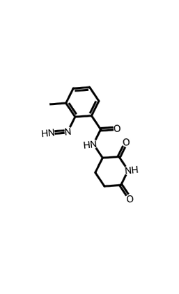 Cc1cccc(C(=O)NC2CCC(=O)NC2=O)c1N=N